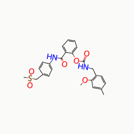 COc1cc(C)ccc1CNC(=O)Oc1ccccc1C(=O)Nc1ccc(CS(C)(=O)=O)cc1